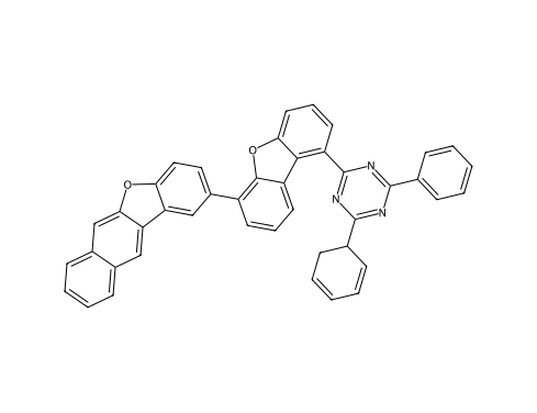 C1=CCC(c2nc(-c3ccccc3)nc(-c3cccc4oc5c(-c6ccc7oc8cc9ccccc9cc8c7c6)cccc5c34)n2)C=C1